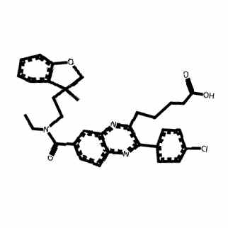 CCN(CCC1(C)COc2ccccc21)C(=O)c1ccc2nc(-c3ccc(Cl)cc3)c(CCCCC(=O)O)nc2c1